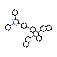 C1=CC2=CC=C(c3c4ccccc4c(C4C=Cc5ccccc5C4)c4ccc(-c5ccc(-c6cc(-c7ccccc7)nc(-c7ccccc7)n6)cc5)cc34)CC2C=C1